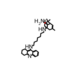 CC=C1C2C=C(C)CC1(NCCCCCCCNc1c3c(nc4ccccc14)CCCC3)CC(N)C2(C)C